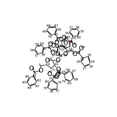 O=C(OC[C@H]1O[C@@](COC(=O)c2ccccc2)(O[C@H]2O[C@H](COC(=O)c3ccccc3)[C@@H](OC(=O)c3ccccc3)[C@H](OC(=O)c3ccccc3)[C@H]2OC(=O)c2ccccc2)[C@@H](OC(=O)c2ccccc2)[C@@H]1OC(=O)c1ccccc1)c1ccccc1